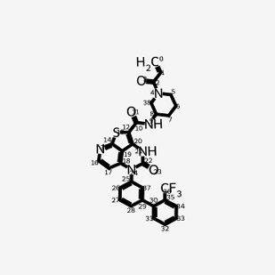 C=CC(=O)N1CCCC(NC(=O)c2sc3nccc4c3c2NC(=O)N4c2cccc(-c3ccccc3C(F)(F)F)c2)C1